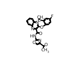 COc1cc(F)ccc1Oc1nc2ccccc2nc1C(=O)Nc1nc(C(C)=O)co1